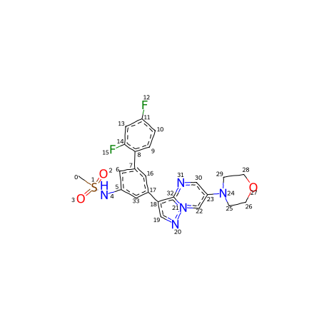 CS(=O)(=O)Nc1cc(-c2ccc(F)cc2F)cc(-c2cnn3cc(N4CCOCC4)cnc23)c1